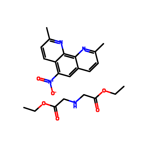 CCOC(=O)CNCC(=O)OCC.Cc1ccc2cc([N+](=O)[O-])c3ccc(C)nc3c2n1